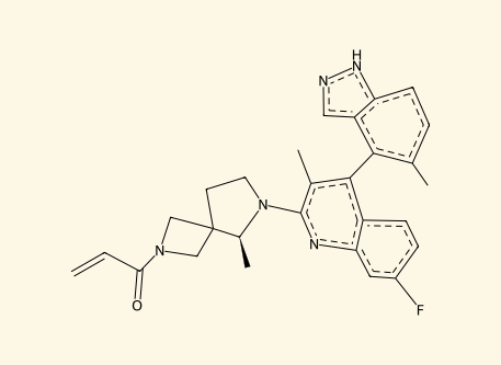 C=CC(=O)N1CC2(CCN(c3nc4cc(F)ccc4c(-c4c(C)ccc5[nH]ncc45)c3C)[C@H]2C)C1